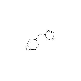 C1=CN(CC2CCNCC2)CS1